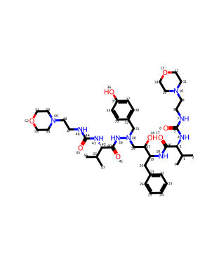 CC(C)[C@H](NC(=O)NCCN1CCOCC1)C(=O)NC(Cc1ccccc1)C(O)CN(Cc1ccc(O)cc1)NC(=O)[C@@H](NC(=O)NCCN1CCOCC1)C(C)C